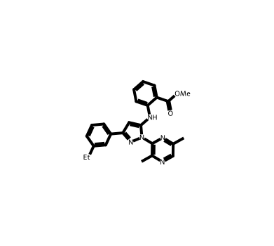 CCc1cccc(-c2cc(Nc3ccccc3C(=O)OC)n(-c3nc(C)cnc3C)n2)c1